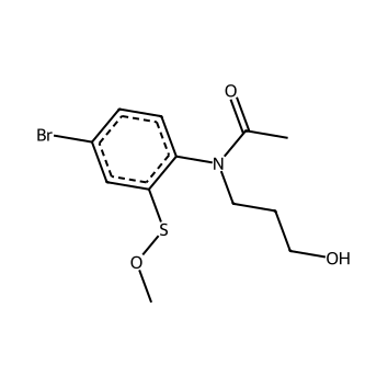 COSc1cc(Br)ccc1N(CCCO)C(C)=O